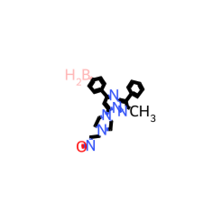 Bc1ccc(-c2cc(N3CCN(CCN=O)CC3)n3nc(C)c(-c4ccccc4)c3n2)cc1